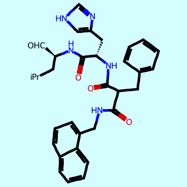 CC(C)C[C@@H](C=O)NC(=O)[C@H](Cc1c[nH]cn1)NC(=O)C(Cc1ccccc1)C(=O)NCc1cccc2ccccc12